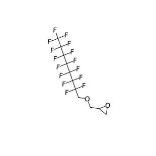 FC(F)(F)C(F)(F)C(F)(F)C(F)(F)C(F)(F)C(F)(F)C(F)(F)COCC1CO1